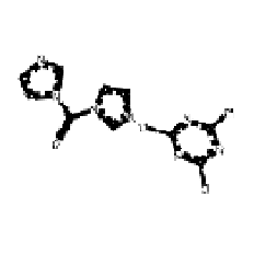 Clc1nc(Cl)nc(Cl)n1.O=C(n1ccnc1)n1ccnc1